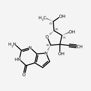 C#CC1(O)[C@@H](O)[C@@H]([C@H](C)O)O[C@H]1n1ccc2c(=O)[nH]c(N)nc21